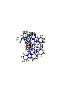 N#Cc1cc(-c2ccc(-n3c4ccccc4c4ccc5c6ccccc6n(-c6ccccc6)c5c43)c(C#N)c2-n2c3ccccc3c3ccc4c5ccccc5n(-c5ccccc5)c4c32)cc(C(F)(F)F)c1